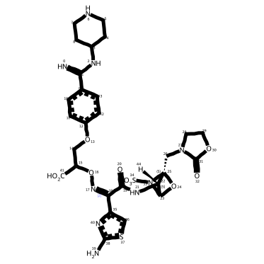 N=C(NC1CCNCC1)c1ccc(OCC(O/N=C(\C(=O)N[C@H]2C3O[C@]2(CN2CCOC2=O)N3S(=O)(=O)O)c2csc(N)n2)C(=O)O)cc1